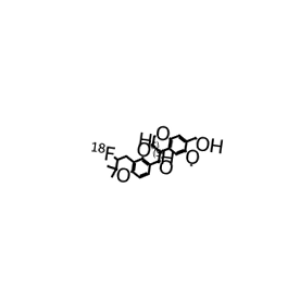 COc1cc2c(cc1CO)OC[C@H]1Oc3c(ccc4c3CC([18F])C(C)(C)O4)C(=O)[C@@H]21